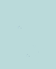 O=C1NC[C@]2(CC[C@@H](NCc3ccccc3)CC2)OC12CC2